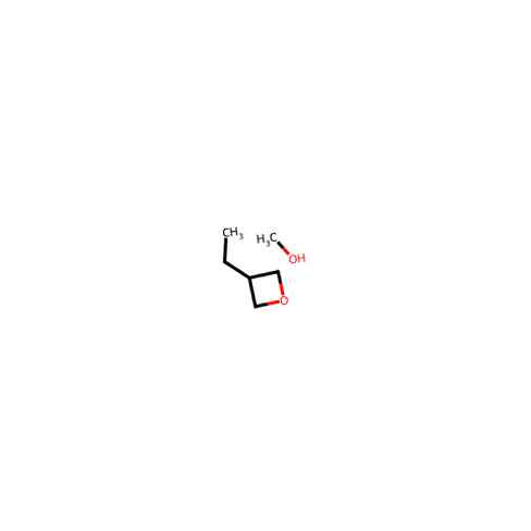 CCC1COC1.CO